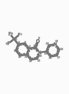 O=c1c2cc(C(F)(F)F)ccc2ccn1-c1cccnc1